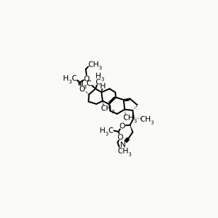 CCOC(C)O[C@H]1CC[C@]2(C)C3=C(CC[C@H]2C1(C)C)C1=CC[C@H]([C@H](C)[C@@H](CC#N)OC(C)OCC)[C@@]1(C)CC3